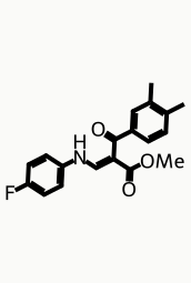 COC(=O)C(=CNc1ccc(F)cc1)C(=O)c1ccc(C)c(C)c1